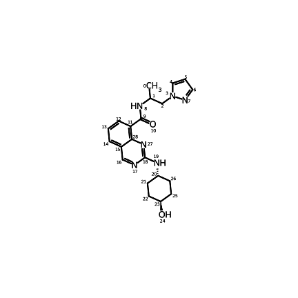 CC(Cn1cccn1)NC(=O)c1cccc2cnc(N[C@H]3CC[C@H](O)CC3)nc12